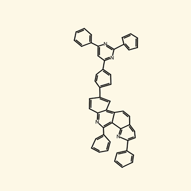 c1ccc(-c2cc(-c3ccc(-c4ccc5nc(-c6ccccc6)c6c(ccc7ccc(-c8ccccc8)nc76)c5c4)cc3)nc(-c3ccccc3)n2)cc1